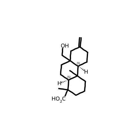 C=C1CC[C@@H]2C(CO)(CC[C@@H]3C(C)(C(=O)O)CCCC23C)C1